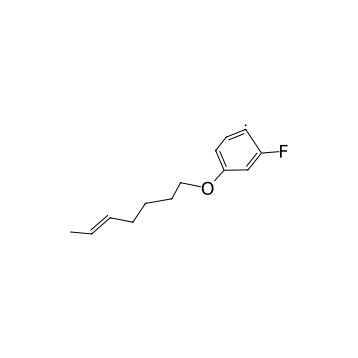 CC=CCCCCOc1cc[c]c(F)c1